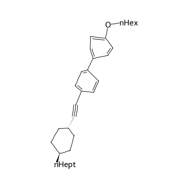 CCCCCCC[C@H]1CC[C@H](C#Cc2ccc(-c3ccc(OCCCCCC)cc3)cc2)CC1